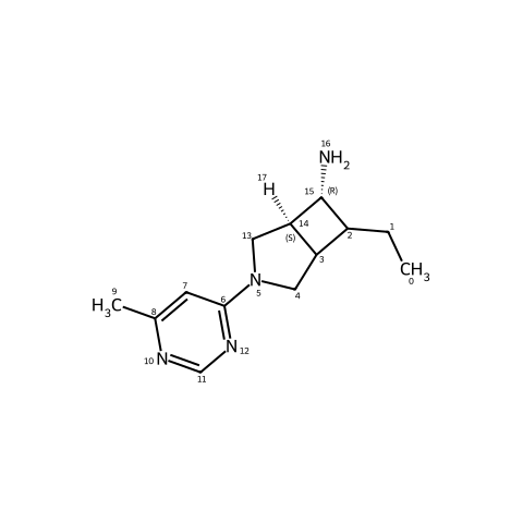 CCC1C2CN(c3cc(C)ncn3)C[C@H]2[C@@H]1N